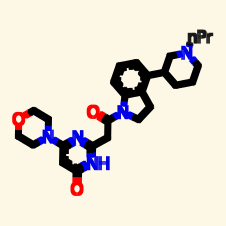 CCCN1CCCC(c2cccc3c2CCN3C(=O)Cc2nc(N3CCOCC3)cc(=O)[nH]2)C1